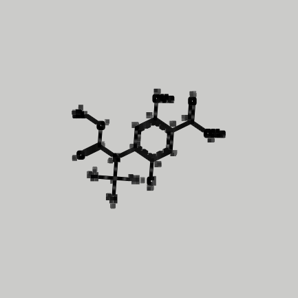 [2H]C([2H])([2H])N(C(=O)OC(C)(C)C)c1cc(OC)c(C(=O)OC)cc1Cl